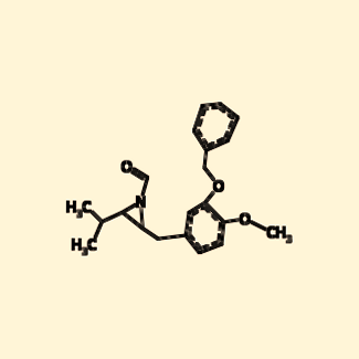 COc1ccc(CC2C(C(C)C)N2C=O)cc1OCc1ccccc1